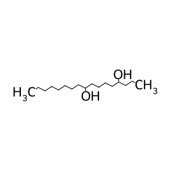 CCCCCCCCC(O)CCCCC(O)CCC